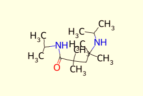 CC(C)NC(=O)C(C)(C)CC(C)(C)NC(C)C